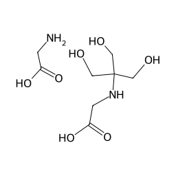 NCC(=O)O.O=C(O)CNC(CO)(CO)CO